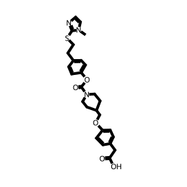 Cn1ccnc1SCCc1ccc(OC(=O)N2CCC(COc3ccc(CC(=O)O)cc3)CC2)cc1